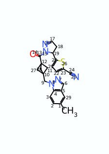 Cc1ccc2c(cnn2CC23CC(C(=O)N4N=CCC4c4ccc(C#N)s4)(C2)C3)c1